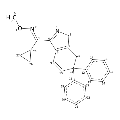 CO/N=C(/C1=NCC2=C1C=CC(c1ccccc1)(c1ccccc1)C2)C1CC1